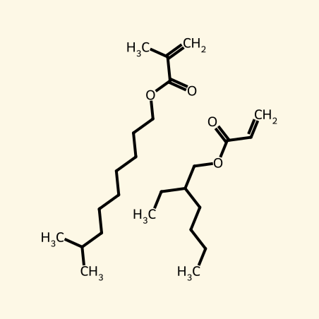 C=C(C)C(=O)OCCCCCCCC(C)C.C=CC(=O)OCC(CC)CCCC